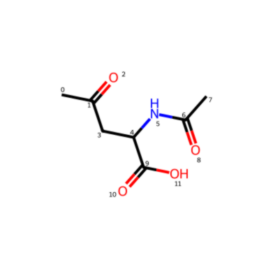 CC(=O)CC(NC(C)=O)C(=O)O